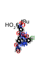 CC(C)(C)OC(=O)n1c(C(=O)O)cc2cc(NC(=O)C(Cc3ccc(NC(=O)N4CCOCC4)cc3)N3CCN(c4cc(Cl)ccc4-n4cnnn4)C(=O)C3=O)ccc21